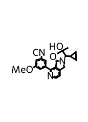 COc1cc(C#N)cc(-c2nccc3c2C(=O)N(C(C2CC2)C(C)(C)O)C3)c1